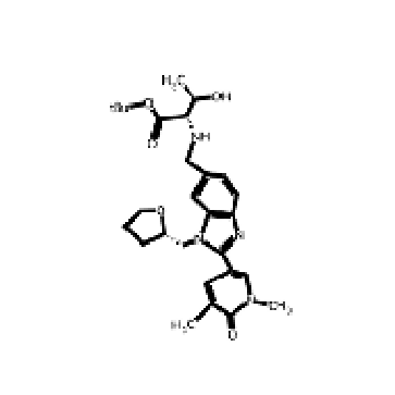 Cc1cc(-c2nc3ccc(CN[C@H](C(=O)OC(C)(C)C)[C@@H](C)O)cc3n2C[C@@H]2CCCO2)cn(C)c1=O